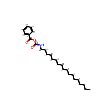 CCCCCCCCCCCCCCCCCCNC(=O)OC(=O)c1ccccc1